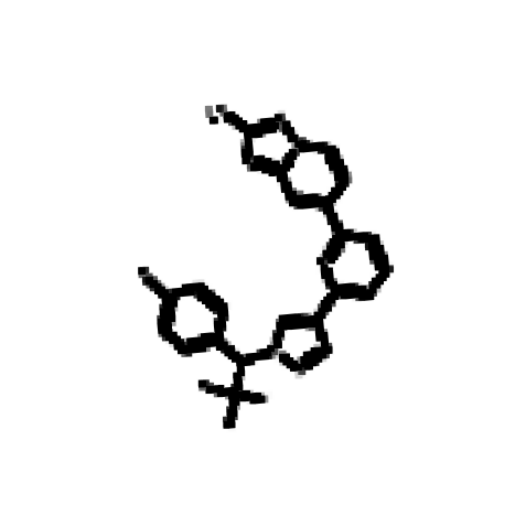 CC(F)(F)[C@@H](c1ccc(F)cc1)n1cc(-c2cccc(-c3ccn4nc(N)nc4c3)n2)cn1